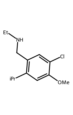 CCNCc1cc(Cl)c(OC)cc1C(C)C